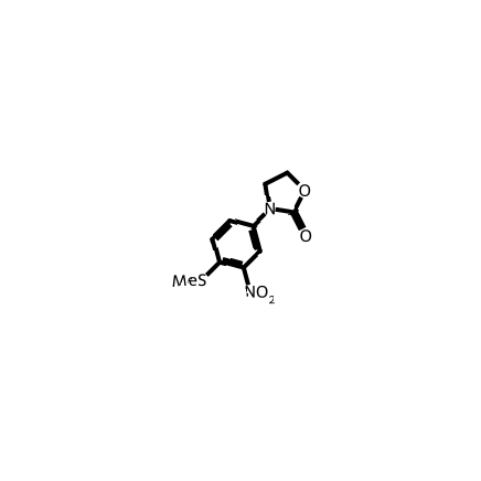 CSc1ccc(N2CCOC2=O)cc1[N+](=O)[O-]